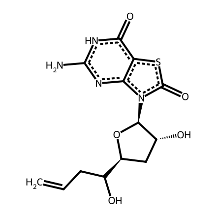 C=CCC(O)[C@@H]1C[C@@H](O)[C@H](n2c(=O)sc3c(=O)[nH]c(N)nc32)O1